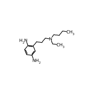 CCCCN(CC)CCCc1cc(N)ccc1N